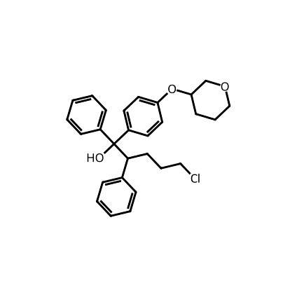 OC(c1ccccc1)(c1ccc(OC2CCCOC2)cc1)C(CCCCl)c1ccccc1